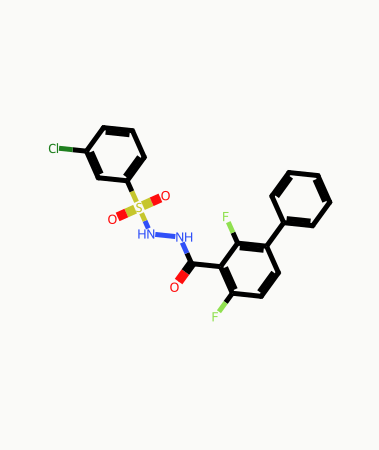 O=C(NNS(=O)(=O)c1cccc(Cl)c1)c1c(F)ccc(-c2ccccc2)c1F